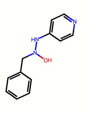 ON(Cc1ccccc1)Nc1ccncc1